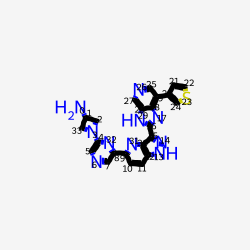 NC1CN(c2cncc(-c3ccc4[nH]nc(-c5nc6c(-c7ccsc7)cncc6[nH]5)c4n3)n2)C1